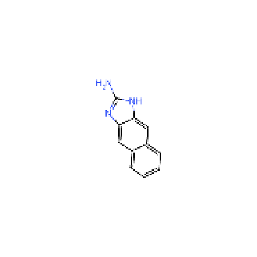 Nc1nc2cc3ccccc3cc2[nH]1